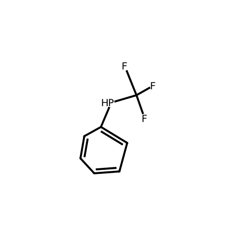 FC(F)(F)Pc1ccccc1